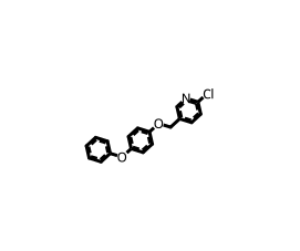 Clc1ccc(COc2ccc(Oc3ccccc3)cc2)cn1